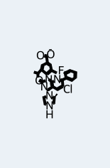 COC(=O)c1cc(C)c(-n2c(=O)nc(N3CCNC[C@@H]3C)c3cc(Cl)c(-c4ccccc4F)nc32)c(C(C)C)c1